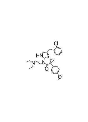 CCN(CC)CCN(C(=O)C1(c2ccc(OC)cc2)CC1)C1NC=C(Cc2ccccc2Cl)S1